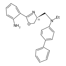 CCN(C[C@H]1COC(c2ccccc2N)=N1)c1ccc(-c2ccccc2)cc1